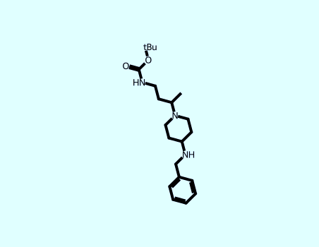 CC(CCNC(=O)OC(C)(C)C)N1CCC(NCc2ccccc2)CC1